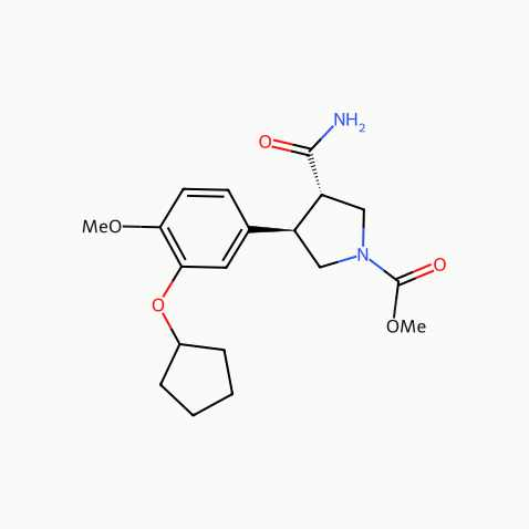 COC(=O)N1C[C@@H](C(N)=O)[C@H](c2ccc(OC)c(OC3CCCC3)c2)C1